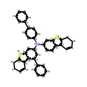 C1=Cc2c(sc3cc(N(c4ccc(-c5ccccc5)cc4)c4cc(-c5ccccc5)c5c6c(sc5c4)CCC=C6)ccc23)CC1